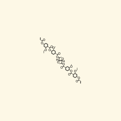 C=CC(=O)Oc1ccc(C(=O)Oc2ccc(C(=O)O[C@@H]3CO[C@H]4[C@@H]3OC[C@H]4OC(=O)c3ccc(OC(=O)c4ccc(OC(=O)C=C)cc4OCC)c(OC)c3)cc2OC)c(OCC)c1